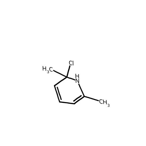 CC1=CC=CC(C)(Cl)N1